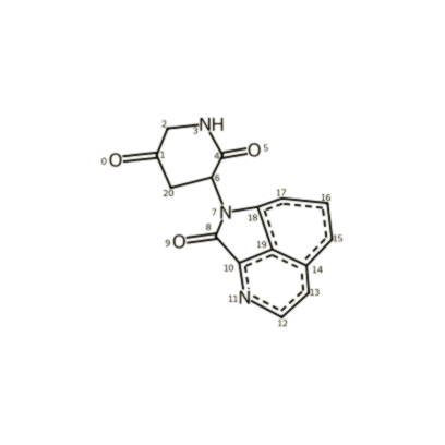 O=C1CNC(=O)C(N2C(=O)c3nccc4cccc2c34)C1